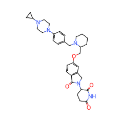 O=C1CCC(N2Cc3cc(OCC4CCCCN4Cc4ccc(N5CCN(C6CC6)CC5)cc4)ccc3C2=O)C(=O)N1